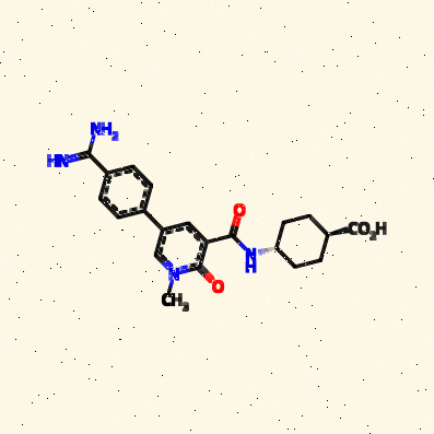 Cn1cc(-c2ccc(C(=N)N)cc2)cc(C(=O)N[C@H]2CC[C@H](C(=O)O)CC2)c1=O